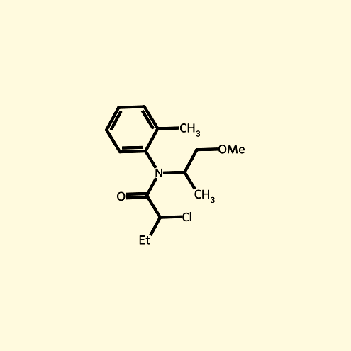 CCC(Cl)C(=O)N(c1ccccc1C)C(C)COC